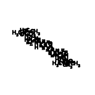 COC(=O)N[C@H](C(=O)N1CCCC1c1ncc(-c2ccc3c(c2)COc2cc4c(cc2-3)CCc2[nH]c([C@@H]3CCCN3C(=O)[C@@H](NC(=O)OC)C(C)C)nc2-4)[nH]1)C(C)C